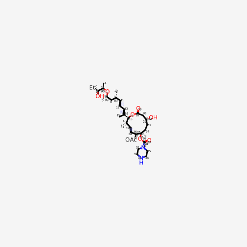 CC[C@H](O)[C@@H](C)O[C@@H](C)C[C@H](C)/C=C/C=C(\C)[C@H]1OC(=O)C[C@H](O)CC[C@@](C)(OC(=O)N2CCNCC2)[C@@H](OC(C)=O)/C=C/[C@@H]1C